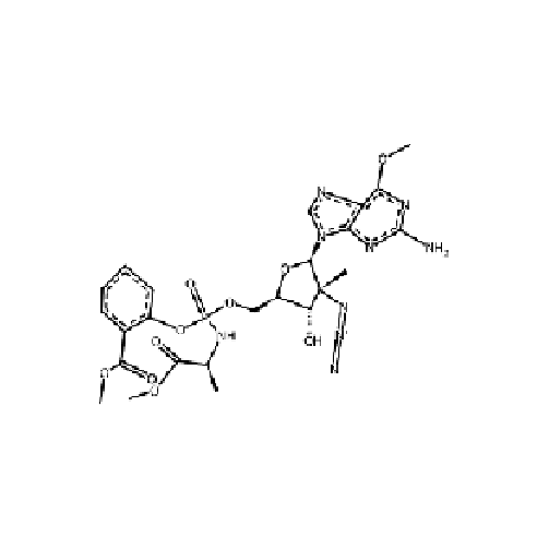 COC(=O)c1ccccc1OP(=O)(N[C@@H](C)C(=O)OC)OC[C@H]1O[C@@H](n2cnc3c(OC)nc(N)nc32)[C@](C)(N=[N+]=[N-])[C@@H]1O